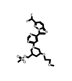 COCCOC1CC(COS(C)(=O)=O)CN(c2cc(-c3cnc4ccc(C(F)F)nn34)ncn2)C1